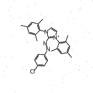 Cc1cc(C)c(-n2cc[n+](-c3c(C)cc(C)cc3C)c2N=Nc2ccc(Cl)cc2)c(C)c1